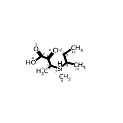 C=C(C(=O)O)C(C)[SiH](C)C(C)CC